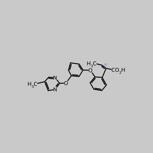 C/C=C(/C(=O)O)c1ccccc1Oc1cccc(Oc2ncc(C)cn2)c1